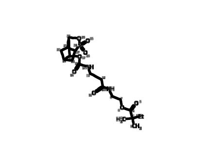 CCC(C)(C)C(=O)OCCNC(=O)CCNC(=O)OC1C2CC3C1OS(=O)(=O)C3C2